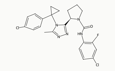 Cc1nnc([C@H]2CCCN2C(=O)Nc2ccc(Cl)cc2F)n1C1(c2ccc(Cl)cc2)CC1